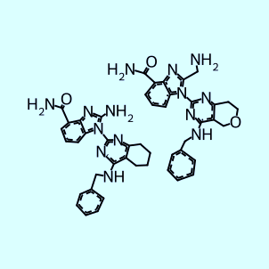 NC(=O)c1cccc2c1nc(N)n2-c1nc2c(c(NCc3ccccc3)n1)CCCC2.NCc1nc2c(C(N)=O)cccc2n1-c1nc2c(c(NCc3ccccc3)n1)COCC2